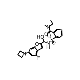 CCN(C)C(=O)c1ccccc1S(=O)(=O)NC(O)c1cc2c(F)cc(N3CCC3)cc2o1